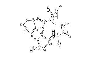 CNC(=O)N(C)c1nc2ccccc2s1.CON(C)C(=O)Nc1ccc(Br)cc1